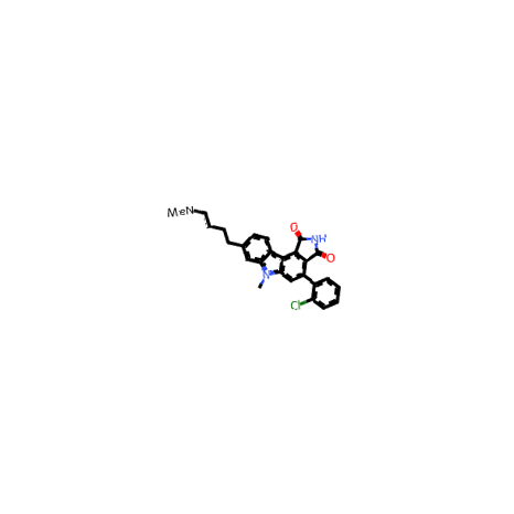 CNCCCCc1ccc2c3c4c(c(-c5ccccc5Cl)cc3n(C)c2c1)C(=O)NC4=O